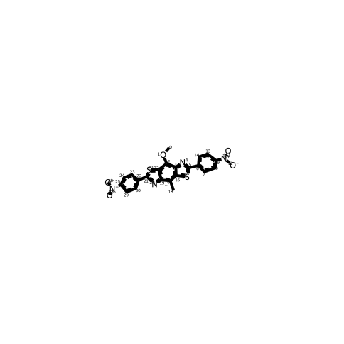 COc1c2nc(-c3ccc([N+](=O)[O-])cc3)sc2c(C)c2nc(-c3ccc([N+](=O)[O-])cc3)sc12